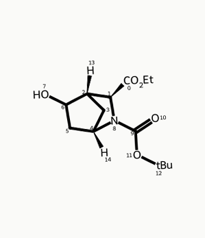 CCOC(=O)[C@@H]1[C@@H]2C[C@@H](CC2O)N1C(=O)OC(C)(C)C